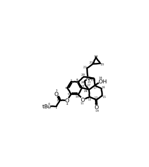 CC(C)(C)CC(=O)Oc1ccc2c3c1OC1C(=O)CCC4(O)C(C2)N(CC2CC2)CCC314